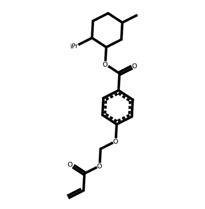 C=CC(=O)OCOc1ccc(C(=O)OC2CC(C)CCC2C(C)C)cc1